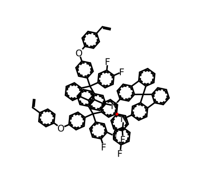 C=Cc1ccc(Oc2ccc(C3(c4ccc(F)c(F)c4)c4ccccc4-c4ccc(N(c5ccc(F)cc5)c5ccc6c(c5)C5(c7ccccc7-6)c6ccccc6-c6ccc(N(c7ccc(F)cc7)c7ccc8c(c7)C(c7ccc(Oc9ccc(C=C)cc9)cc7)(c7ccc(F)c(F)c7)c7ccccc7-8)cc65)cc43)cc2)cc1